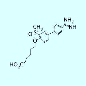 C[S+]([O-])c1cc(-c2ccc(C(=N)N)cc2)ccc1OCCCCCC(=O)O